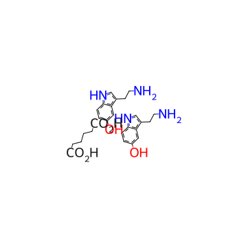 NCCc1c[nH]c2ccc(O)cc12.NCCc1c[nH]c2ccc(O)cc12.O=C(O)CCCCC(=O)O